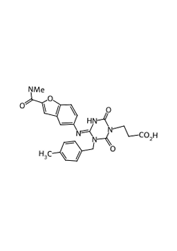 CNC(=O)c1cc2cc(/N=c3\[nH]c(=O)n(CCC(=O)O)c(=O)n3Cc3ccc(C)cc3)ccc2o1